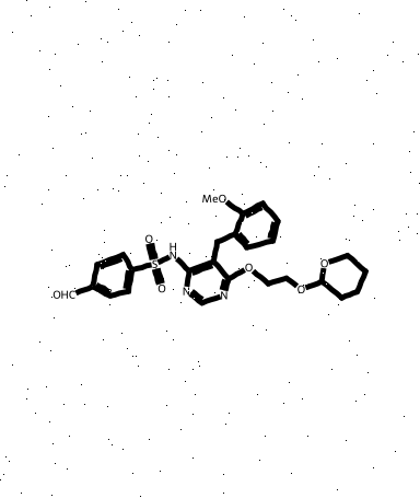 COc1ccccc1Cc1c(NS(=O)(=O)c2ccc(C=O)cc2)ncnc1OCCOC1CCCCO1